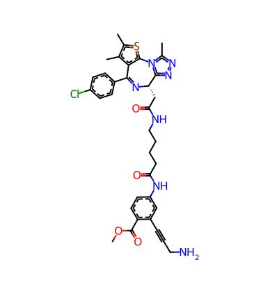 COC(=O)c1ccc(NC(=O)CCCCNC(=O)C[C@@H]2N=C(c3ccc(Cl)cc3)c3c(sc(C)c3C)-n3c(C)nnc32)cc1C#CCN